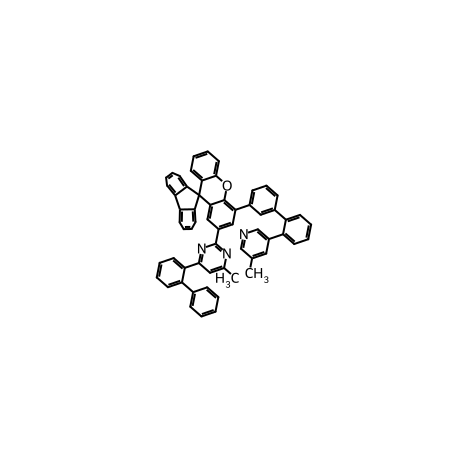 Cc1cncc(-c2ccccc2-c2cccc(-c3cc(-c4nc(C)cc(-c5ccccc5-c5ccccc5)n4)cc4c3Oc3ccccc3C43c4ccccc4-c4ccccc43)c2)c1